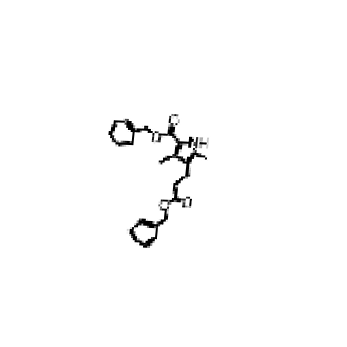 Cc1[nH]c(C(=O)OCc2ccccc2)c(C)c1CCC(=O)OCc1ccccc1